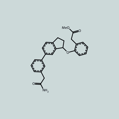 COC(=O)Cc1ccccc1OC1CCc2ccc(-c3cccc(CC(N)=O)c3)cc21